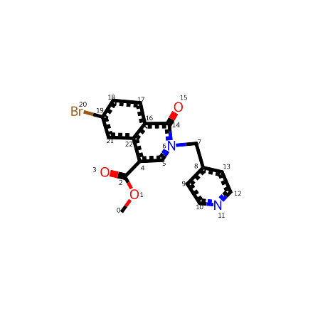 COC(=O)c1cn(Cc2ccncc2)c(=O)c2ccc(Br)cc12